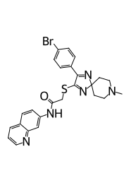 CN1CCC2(CC1)N=C(SCC(=O)Nc1ccc3cccnc3c1)C(c1ccc(Br)cc1)=N2